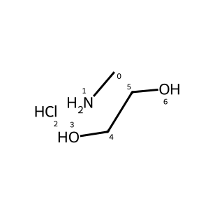 CN.Cl.OCCO